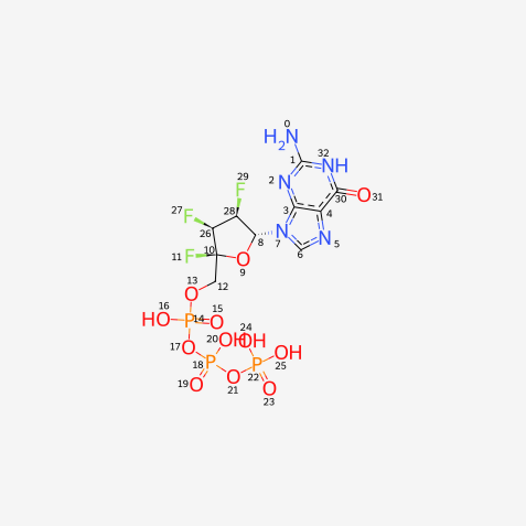 Nc1nc2c(ncn2[C@@H]2O[C@](F)(COP(=O)(O)OP(=O)(O)OP(=O)(O)O)[C@@H](F)[C@H]2F)c(=O)[nH]1